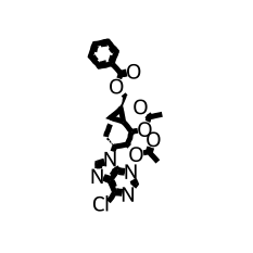 CC[C@H](C(OC(C)=O)C(OC(C)=O)C1C[C@H]1COC(=O)c1ccccc1)n1cnc2c(Cl)ncnc21